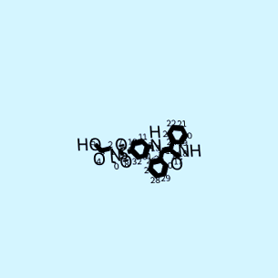 CN(CC(=O)O)S(=O)(=O)c1ccc(NC(=C2C(=O)Nc3ccccc32)c2ccccc2)cc1